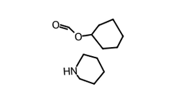 C1CCNCC1.O=COC1CCCCC1